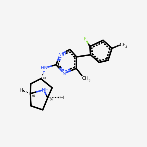 Cc1nc(N[C@@H]2C[C@H]3CC[C@@H](C2)N3)ncc1-c1ccc(C(F)(F)F)cc1F